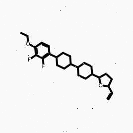 C=CC1CCC(C2CCC(C3CCC(c4ccc(OCC)c(F)c4F)CC3)CC2)O1